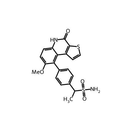 COc1ccc2[nH]c(=O)c3sccc3c2c1-c1ccc(C(C)S(N)(=O)=O)cc1